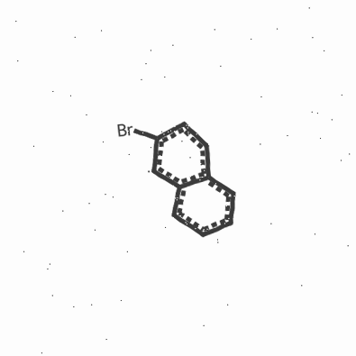 Brc1[c]c2ccccc2cc1